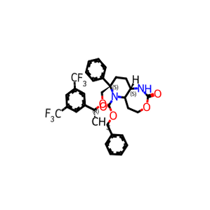 C[C@@H](OC[C@@]1(c2ccccc2)CC[C@@H]2NC(=O)OCCC2N1C(=O)OCc1ccccc1)c1cc(C(F)(F)F)cc(C(F)(F)F)c1